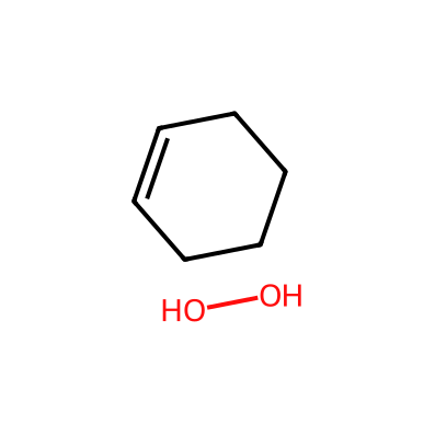 C1=CCCCC1.OO